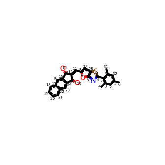 Cc1cc(C)c(-c2nc3oc(C=C4C(=O)c5cc6ccccc6cc5C4=O)cc3s2)c(C)c1